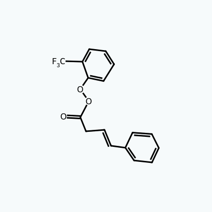 O=C(CC=Cc1ccccc1)OOc1ccccc1C(F)(F)F